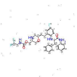 NC(=O)[C@@H](Nc1ccc(F)cc1CC[C@@H]1CN[C@H](COC(=O)NCC(F)F)CO1)C(c1ccccc1)c1ccccc1